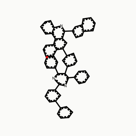 c1ccc(-c2cccc(-c3nc(-c4ccccc4)c(-c4cccc(-c5cc6c(-c7ccc8ccccc8c7)nc7ccccc7c6c6ccccc56)c4)c(-c4ccccc4)n3)c2)cc1